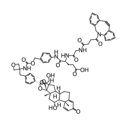 C[C@]12C=CC(=O)C=C1CC[C@@H]1[C@@H]2[C@@H](O)C[C@@]2(C)[C@H]1C[C@H]1O[C@@H](c3ccc(CC4(NC(=O)OCc5ccc(NC(=O)[C@H](CCC(=O)O)NC(=O)CNC(=O)CCC(=O)N6Cc7ccccc7C#Cc7ccccc76)cc5)COC4)cc3)O[C@]12C(=O)CO